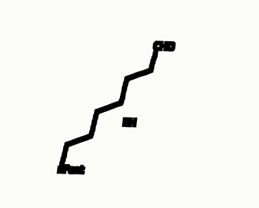 CCCCCCCCCCCC=O.[KH]